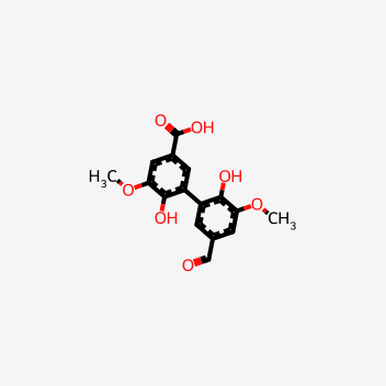 COc1cc(C=O)cc(-c2cc(C(=O)O)cc(OC)c2O)c1O